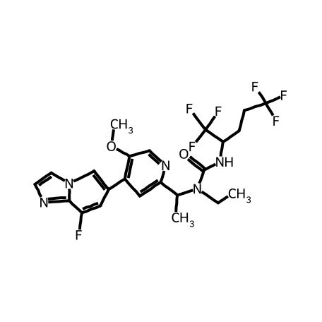 CCN(C(=O)NC(CCC(F)(F)F)C(F)(F)F)C(C)c1cc(-c2cc(F)c3nccn3c2)c(OC)cn1